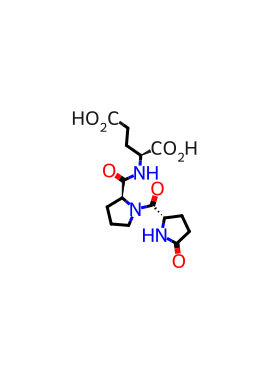 O=C(O)CC[C@H](NC(=O)[C@@H]1CCCN1C(=O)[C@@H]1CCC(=O)N1)C(=O)O